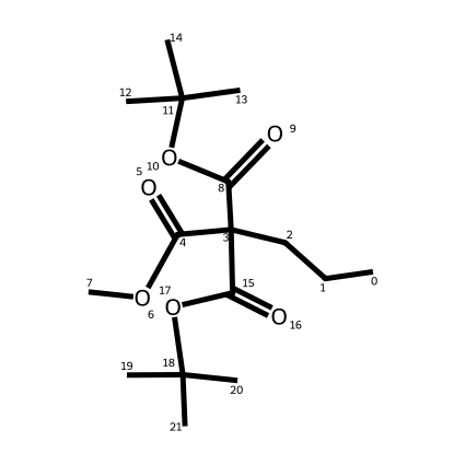 CCCC(C(=O)OC)(C(=O)OC(C)(C)C)C(=O)OC(C)(C)C